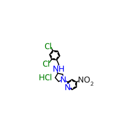 Cl.O=[N+]([O-])c1ccnc(N2CCC(NCc3ccc(Cl)cc3Cl)C2)c1